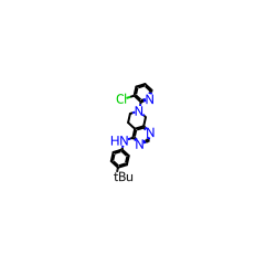 CC(C)(C)c1ccc(Nc2ncnc3c2CCN(c2ncccc2Cl)C3)cc1